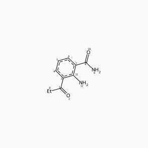 CCC(=O)c1cccc(C(N)=O)c1N